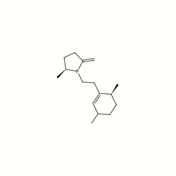 C=C1CC[C@H](C)P1CCC1=CC(C)CC[C@@H]1C